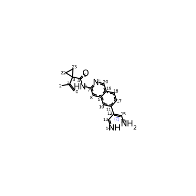 C=C(C)C1(C(=O)Nc2cc3cc(/C(C=N)=C/N)ccc3cn2)CC1